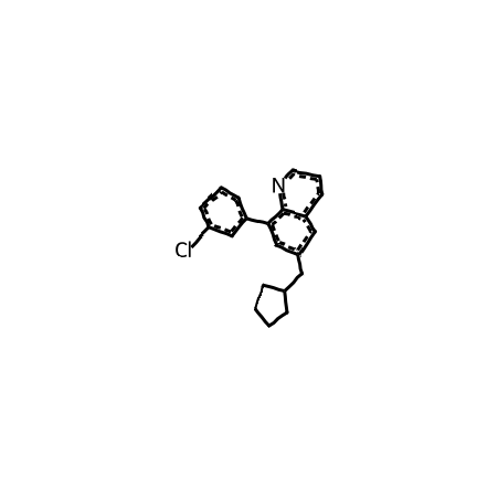 Clc1cccc(-c2cc(CC3CCCC3)cc3cccnc23)c1